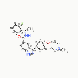 C[C@@H](NC(=O)c1ccc2[nH]nc(-c3ccc(OC4CCN(C)CC4)cc3)c2c1)c1ccccc1F